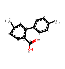 Cc1ccc(-c2cc(C)ccc2C(=O)O)cc1